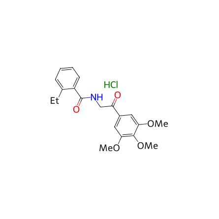 CCc1ccccc1C(=O)NCC(=O)c1cc(OC)c(OC)c(OC)c1.Cl